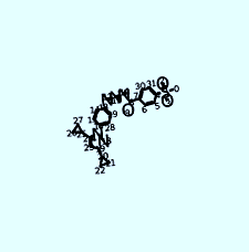 CS(=O)(=O)c1ccc(C(=O)N=[N+]=Nc2ccc(-n3nc(C4CC4)cc3C3CC3)cc2)cc1